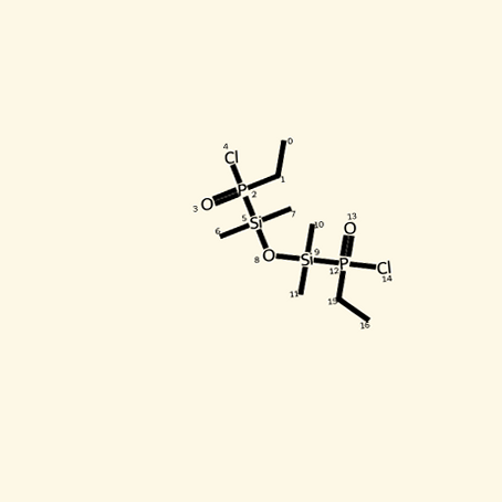 CCP(=O)(Cl)[Si](C)(C)O[Si](C)(C)P(=O)(Cl)CC